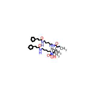 C/C=C(\C)C(=O)NCCCCCNC(=O)C=Cc1ccccc1.CC(C)(C)N(CCCCCNC(=O)C=Cc1ccccc1)C(=O)O